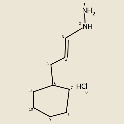 Cl.NNC=CCC1CCCCC1